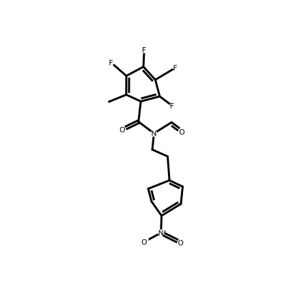 Cc1c(F)c(F)c(F)c(F)c1C(=O)N(C=O)CCc1ccc([N+](=O)[O-])cc1